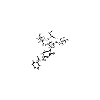 COS(=O)O[C@H]1[C@@H](O[Si](C)(C)C(C)(C)C)[C@H](n2ccc(NC(=O)c3ccccc3)nc2=O)O[C@@H]1CO[Si](C)(C)C(C)(C)C